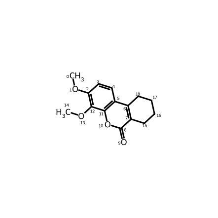 COc1ccc2c3c(c(=O)oc2c1OC)CCCC3